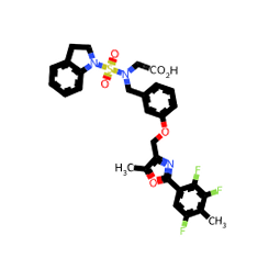 Cc1oc(-c2cc(F)c(C)c(F)c2F)nc1COc1cccc(CN(CC(=O)O)S(=O)(=O)N2CCc3ccccc32)c1